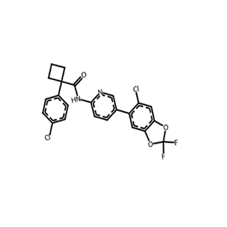 O=C(Nc1ccc(-c2cc3c(cc2Cl)OC(F)(F)O3)cn1)C1(c2ccc(Cl)cc2)CCC1